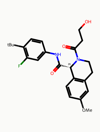 COc1ccc2c(c1)CCN(C(=O)CCO)[C@H]2C(=O)Nc1ccc(C(C)(C)C)c(F)c1